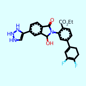 CCOC(=O)c1ccc(C2=CC(F)=C(F)CC2)cc1N1C(=O)c2ccc(C3=CNNN3)cc2C1O